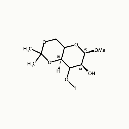 CO[C@@H]1OC2COC(C)(C)O[C@@H]2C(OI)[C@@H]1O